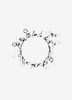 CCCC[C@H]1C(=O)N[C@@H](CCCNC(=N)N)C(=O)NC(C(=O)NCC(N)=O)CSCC(=O)N[C@@H](Cc2ccc(O)cc2)C(=O)N(C)[C@@H](C)C(=O)N[C@@H](CC(N)=O)C(=O)N2CCC[C@H]2C(=O)N[C@@H](CO)C(=O)N[C@@H](CC(C)C)C(=O)N2C[C@H](O)CC2C(=O)N[C@@H](Cc2c[nH]c3ccccc23)C(=O)N[C@@H](CO)C(=O)N[C@@H](Cc2csc3ccccc23)C(=O)N(C)[C@@H](CCSC)C(=O)N1C